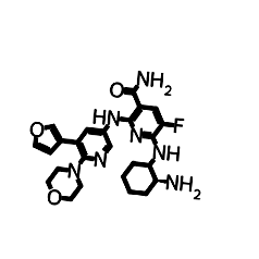 NC(=O)c1cc(F)c(NC2CCCC[C@@H]2N)nc1Nc1cnc(N2CCOCC2)c(-c2ccoc2)c1